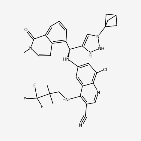 Cn1ccc2c([C@H](Nc3cc(Cl)c4ncc(C#N)c(NCC(C)(C)C(F)(F)F)c4c3)C3=CN(C45CC(C4)C5)NN3)cccc2c1=O